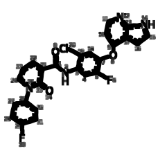 O=C(Nc1cc(F)c(Oc2ccnc3[nH]ccc23)cc1Cl)c1cccn(-c2ccc(F)cc2)c1=O